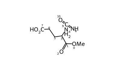 COC(=O)C(N)CCC(=O)O.N=C=O